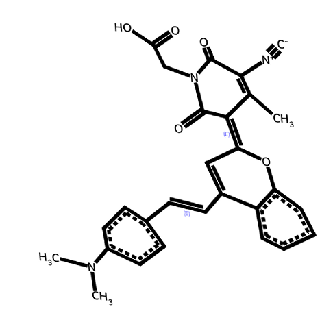 [C-]#[N+]C1=C(C)/C(=C2C=C(/C=C/c3ccc(N(C)C)cc3)c3ccccc3O/2)C(=O)N(CC(=O)O)C1=O